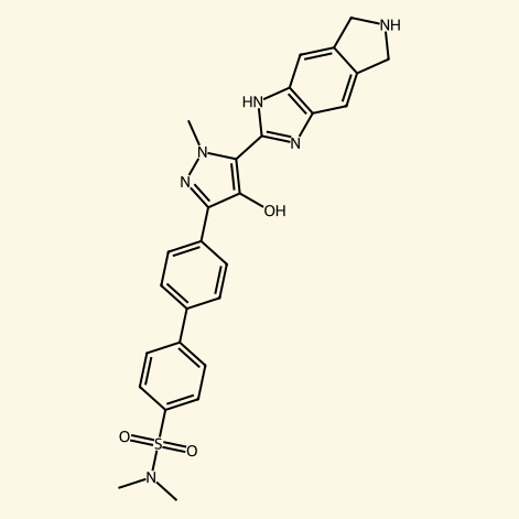 CN(C)S(=O)(=O)c1ccc(-c2ccc(-c3nn(C)c(-c4nc5cc6c(cc5[nH]4)CNC6)c3O)cc2)cc1